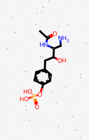 CC(=O)NC(CN)C(O)Cc1ccc(OP(=O)(O)O)cc1